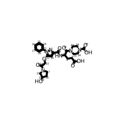 O=C(O)CCC(NC(=O)c1cc(OCC(=O)N2CCC(O)C2)n(-c2ccccc2)n1)C(=O)N1CCN(C(=O)O)CC1